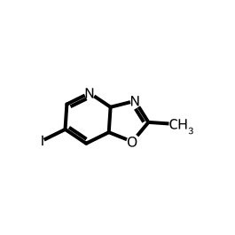 CC1=NC2N=CC(I)=CC2O1